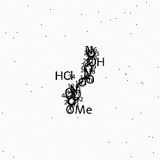 COc1cc(C)c(S(=O)(=O)N(C)CCOCC(=O)N2CCC(O)(Cc3cccnc3)CC2)c(C)c1.Cl